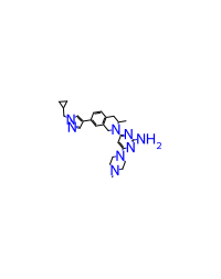 CC1Cc2ccc(-c3cnn(CC4CC4)c3)cc2CN1c1cc(N2CCN(C)CC2)nc(N)n1